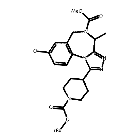 COC(=O)N1Cc2cc(Cl)ccc2-n2c(C3CCN(C(=O)OC(C)(C)C)CC3)nnc2C1C